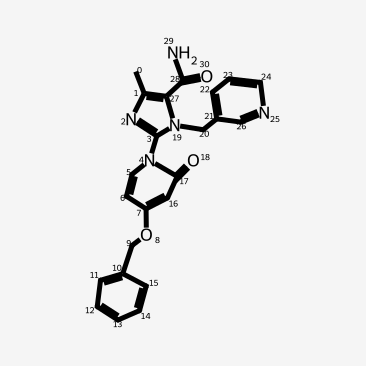 Cc1nc(-n2ccc(OCc3ccccc3)cc2=O)n(Cc2cccnc2)c1C(N)=O